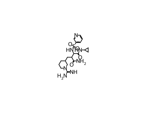 N=C(N)N1CCCC(CC(C(N)=O)C(NS(=O)(=O)c2cccnc2)C(=O)NC2CC2)C1